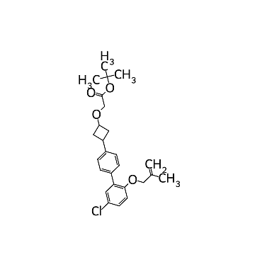 C=C(C)COc1ccc(Cl)cc1-c1ccc(C2CC(OCC(=O)OC(C)(C)C)C2)cc1